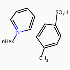 CCCCCC[n+]1ccccc1.Cc1ccc(S(=O)(=O)O)cc1